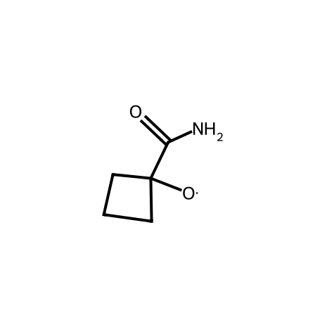 NC(=O)C1([O])CCC1